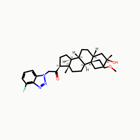 COCC[C@]12CC[C@@](C)(O)C[C@H]1CC[C@H]1[C@@H]3CC[C@H](C(=O)Cn4nnc5c(F)cccc54)[C@@]3(C)CC[C@@H]12